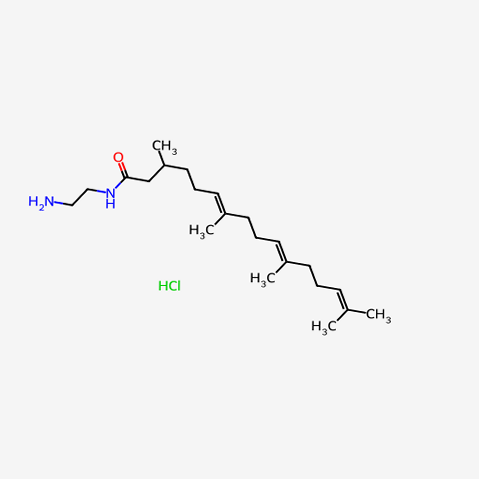 CC(C)=CCC/C(C)=C/CC/C(C)=C/CCC(C)CC(=O)NCCN.Cl